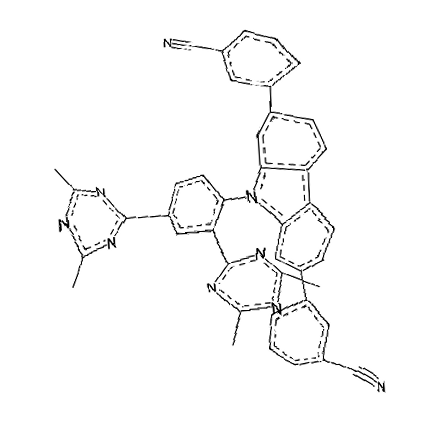 Cc1nc(C)nc(-c2ccc(-n3c4cc(-c5cccc(C#N)c5)ccc4c4ccc(-c5cccc(C#N)c5)cc43)c(-c3nc(C)nc(C)n3)c2)n1